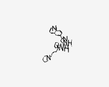 O=C(CCCN1CCCCC1)Nc1cc(-c2ccc3ncccc3c2)n[nH]1